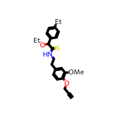 C#CCOc1ccc(CCNC(=S)C(OCC)c2ccc(CC)cc2)cc1OC